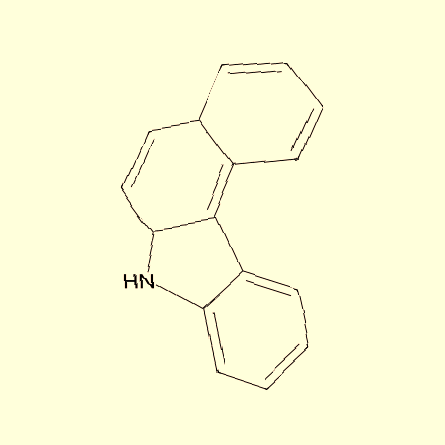 C1=CC2=C3c4ccccc4NC3C=CC2C=C1